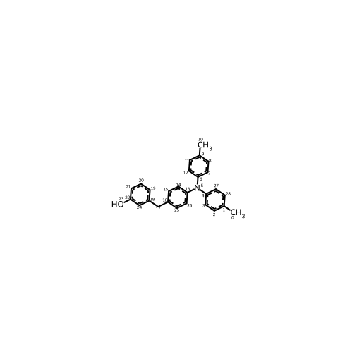 Cc1ccc(N(c2ccc(C)cc2)c2ccc(Cc3cccc(O)c3)cc2)cc1